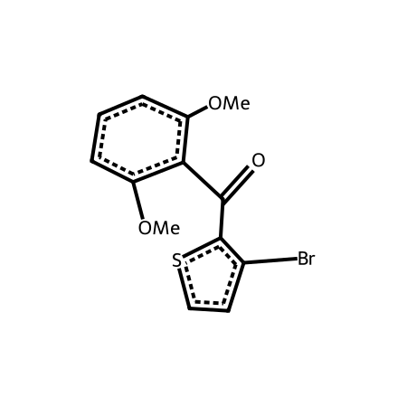 COc1cccc(OC)c1C(=O)c1sccc1Br